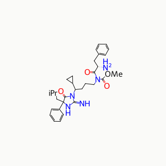 COC(=O)N(CCCC(C1CC1)N1C(=N)NC(CC(C)C)(c2ccccc2)C1=O)C(=O)[C@@H](N)Cc1ccccc1